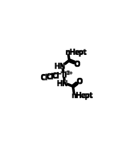 CCCCCCCC(=O)[NH][Ti+3][NH]C(=O)CCCCCCC.[Cl-].[Cl-].[Cl-]